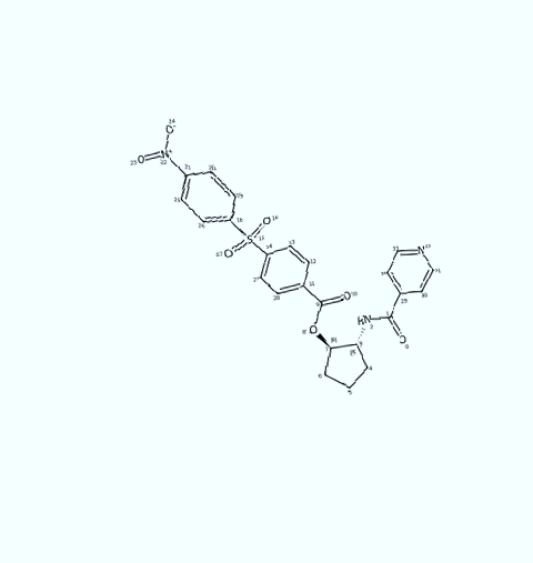 O=C(N[C@@H]1CCC[C@H]1OC(=O)c1ccc(S(=O)(=O)c2ccc([N+](=O)[O-])cc2)cc1)c1ccncc1